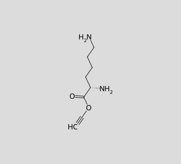 C#COC(=O)[C@@H](N)CCCCN